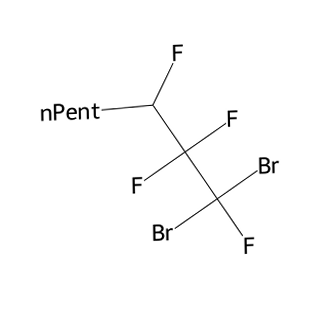 CCCCCC(F)C(F)(F)C(F)(Br)Br